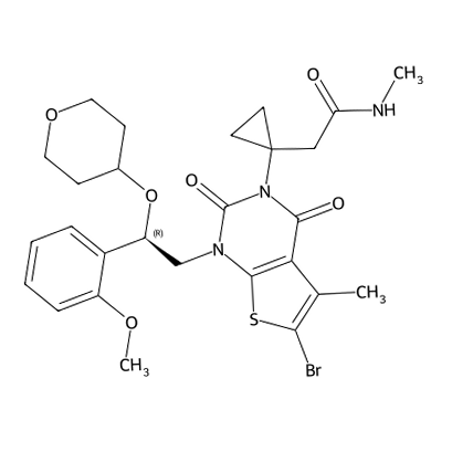 CNC(=O)CC1(n2c(=O)c3c(C)c(Br)sc3n(C[C@H](OC3CCOCC3)c3ccccc3OC)c2=O)CC1